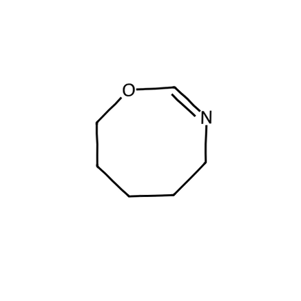 C1=NCCCCCO1